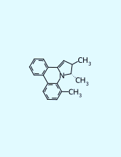 Cc1cccc2c1N1C(=CC(C)[C@@H]1C)c1ccccc1-2